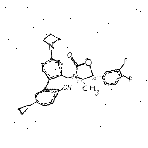 C[C@H]1[C@@H](c2ccc(F)c(F)c2)OC(=O)N1Cc1nc(N2CCC2)ccc1-c1cc(C2CC2)ccc1O